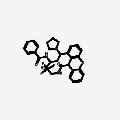 CC(CC(c1cccc2c1C(C(=O)NCC(F)(F)F)c1ccccc1S2)N1CCCC1)NC(=O)c1ccccc1